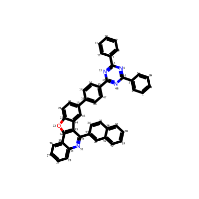 c1ccc(-c2nc(-c3ccccc3)nc(-c3ccc(-c4ccc5oc6c7ccccc7nc(-c7ccc8ccccc8c7)c6c5c4)cc3)n2)cc1